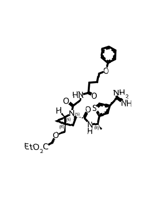 CCOC(=O)COC[C@@]12C[C@@H]1N(C(=O)CNC(=O)CCCOc1ccccc1)[C@H](C(=O)N[C@H](C)c1cc(C(=N)N)cs1)C2